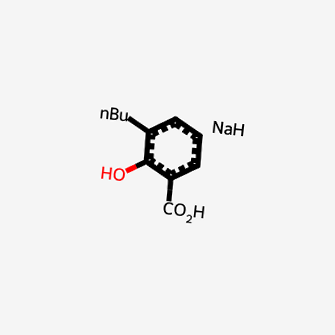 CCCCc1cccc(C(=O)O)c1O.[NaH]